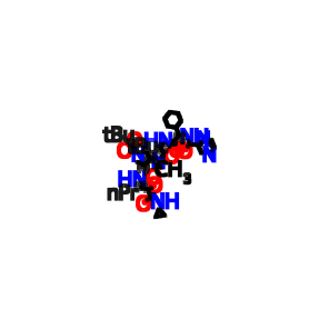 CCC[C@H](NC(=O)[C@@H]1CN(C(=O)OC(C)(C)C)C[C@@H]1N(C)C(=O)[C@@H](NC(=O)[C@@H](NC(=O)c1cnccn1)C1CCCCC1)C(C)(C)C)C(=O)C(=O)NC1CC1